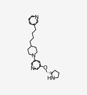 c1cncc(CCCCC2CCN(c3cncc(OC[C@@H]4CCCN4)c3)CC2)c1